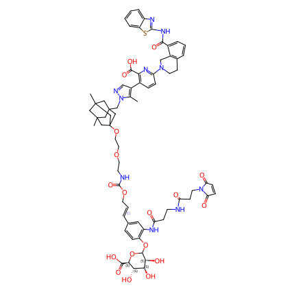 Cc1c(-c2ccc(N3CCc4cccc(C(=O)Nc5nc6ccccc6s5)c4C3)nc2C(=O)O)cnn1CC12CC3(C)CC(C)(C1)CC(OCCOCCNC(=O)OC/C=C/c1ccc(OC4O[C@H](C(=O)O)[C@@H](O)[C@H](O)[C@@H]4O)c(NC(=O)CCNC(=O)CCN4C(=O)C=CC4=O)c1)(C3)C2